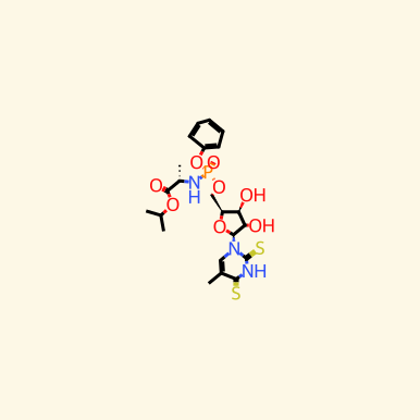 Cc1cn([C@H]2O[C@@H](COP(=O)(N[C@@H](C)C(=O)OC(C)C)Oc3ccccc3)[C@@H](O)C2O)c(=S)[nH]c1=S